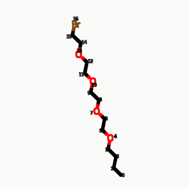 CCCCOCCOCCOCCOCCBr